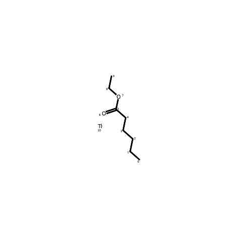 CCCCCC(=O)OCC.[Tl]